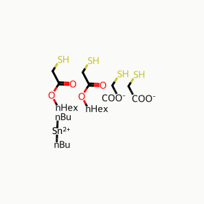 CCCCCCOC(=O)CS.CCCCCCOC(=O)CS.CCC[CH2][Sn+2][CH2]CCC.O=C([O-])CS.O=C([O-])CS